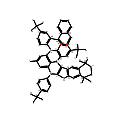 Cc1cc2c3c(c1)N(c1ccc(C(C)(C)C)cc1)c1sc4cc5c(cc4c1B3c1cc(C(C)(C)C)ccc1N2c1ccc(C(C)(C)C)cc1-c1cccc2ccccc12)C(C)(C)CCC5(C)C